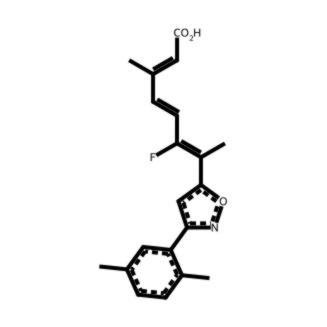 CC(C=CC(F)=C(C)c1cc(-c2cc(C)ccc2C)no1)=CC(=O)O